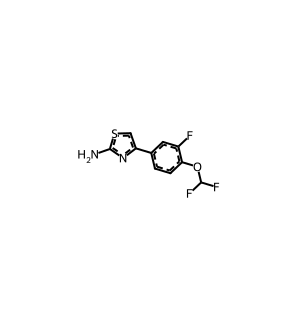 Nc1nc(-c2ccc(OC(F)F)c(F)c2)cs1